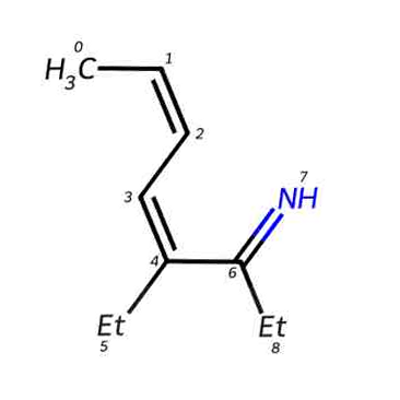 C/C=C\C=C(\CC)C(=N)CC